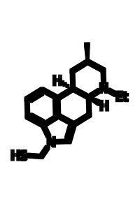 CCN1C[C@H](C)C[C@@H]2c3cccc4c3c(cn4CS)C[C@H]21